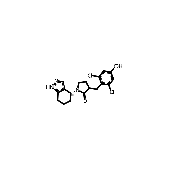 O=C1C(Cc2c(Cl)cc(O)cc2Cl)CCN1[C@@H]1CCCc2[nH]ncc21